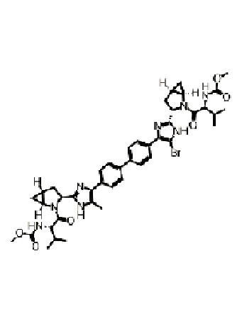 COC(=O)N[C@H](C(=O)N1[C@@H]2C[C@@H]2C[C@H]1c1nc(-c2ccc(-c3ccc(-c4nc([C@@H]5C[C@H]6C[C@H]6N5C(=O)[C@@H](NC(=O)OC)C(C)C)[nH]c4Br)cc3)cc2)c(C)[nH]1)C(C)C